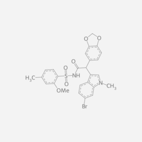 COc1cc(C)ccc1S(=O)(=O)NC(=O)C(c1ccc2c(c1)OCO2)c1cn(C)c2cc(Br)ccc12